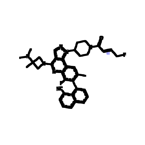 Cc1cc2c(nc(N3CC(C)(N(C)C)C3)c3cnn(C4CCN(C(=O)/C=C/CF)CC4)c32)c(F)c1-c1cccc2cccc(C#N)c12